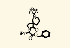 CC(C)C(C(=O)OCc1ccccc1)N1CCC2(CCCN(C(=O)OC(C)(C)C)C2)C1=O